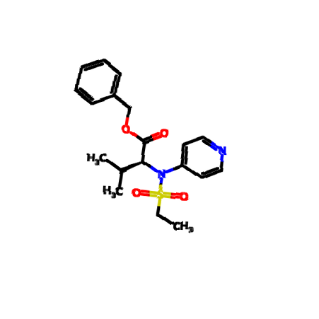 CCS(=O)(=O)N(c1ccncc1)[C@H](C(=O)OCc1ccccc1)C(C)C